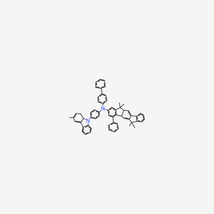 CC1=CCC2C(=C1)c1ccccc1N2c1ccc(N(c2ccc(-c3ccccc3)cc2)c2cc(-c3ccccc3)c3c(c2)C(C)(C)C2C=C4C(=CC32)C(C)(C)c2ccccc24)cc1